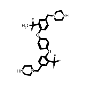 CC(F)(F)c1cc(CN2CCNCC2)ccc1Oc1ccc(Oc2ccc(CN3CCNCC3)cc2C(F)(F)F)cc1